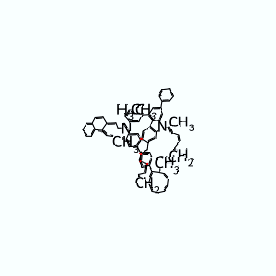 C=C/C=C\C=C/Cc1ccc2c3c(C(C)/C=C(\C=C/C)N(C/C=c4/ccc5ccccc5/c4=C/CC)c4ccc(-c5ccc(/C6=C/C=C\C/C=C\C=C/C6C)cc5)cc4)cc(-c4ccccc4)cc3n(/C(C)=C/C=C\C=C)c2c1